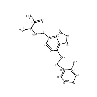 C[C@H](NCc1ccc(OCc2ncccc2F)c2c1OCO2)C(N)=O